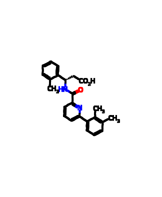 Cc1ccccc1[C@H](CC(=O)O)NC(=O)c1cccc(-c2cccc(C)c2C)n1